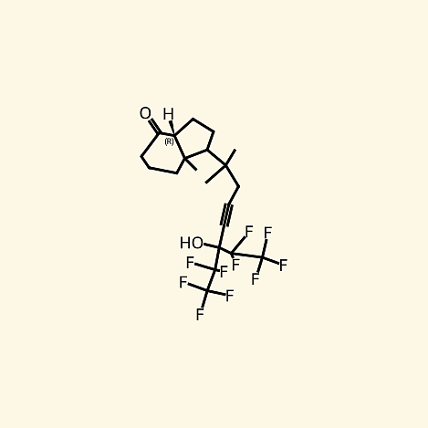 CC(C)(CC#CC(O)(C(F)(F)C(F)(F)F)C(F)(F)C(F)(F)F)C1CC[C@H]2C(=O)CCCC12C